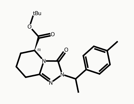 Cc1ccc(C(C)n2nc3n(c2=O)[C@H](C(=O)OC(C)(C)C)CCC3)cc1